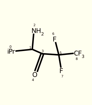 CC(C)C(N)C(=O)C(F)(F)C(F)(F)F